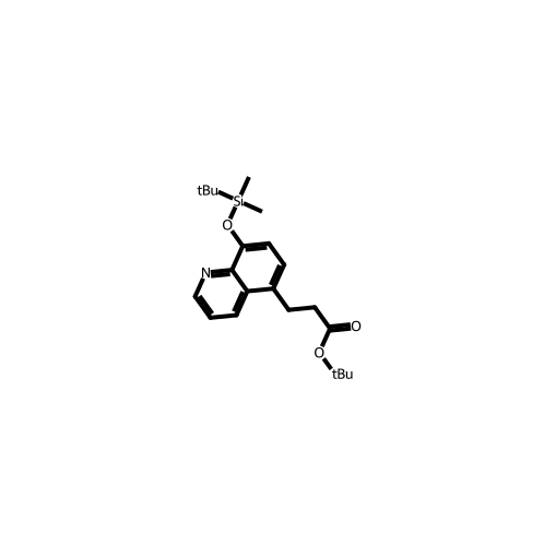 CC(C)(C)OC(=O)CCc1ccc(O[Si](C)(C)C(C)(C)C)c2ncccc12